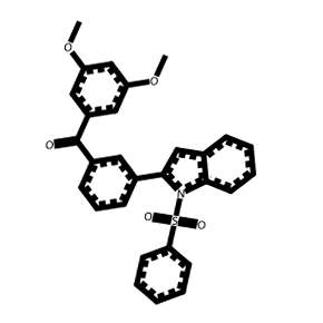 COc1cc(OC)cc(C(=O)c2cccc(-c3cc4ccccc4n3S(=O)(=O)c3ccccc3)c2)c1